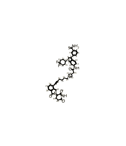 NC(=S)c1cccc(-c2cn(C3CCC(F)(F)CC3)c3cc(NC(=O)CC4CN(CCCCC#Cc5cccc6c5CN(C5CCC(=O)NC5=O)C6=O)C4)ccc23)c1